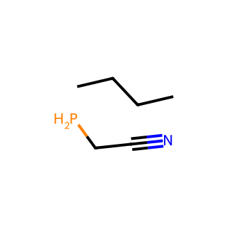 CCCC.N#CCP